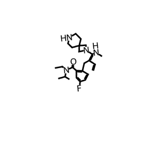 C=C/C(Cc1ccc(F)cc1C(=O)N(CC)C(C)C)=C(\NC)N1CC2(CCNCC2)C1